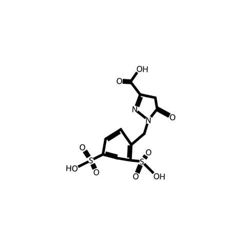 O=C(O)C1=NN(Cc2ccc(S(=O)(=O)O)cc2S(=O)(=O)O)C(=O)C1